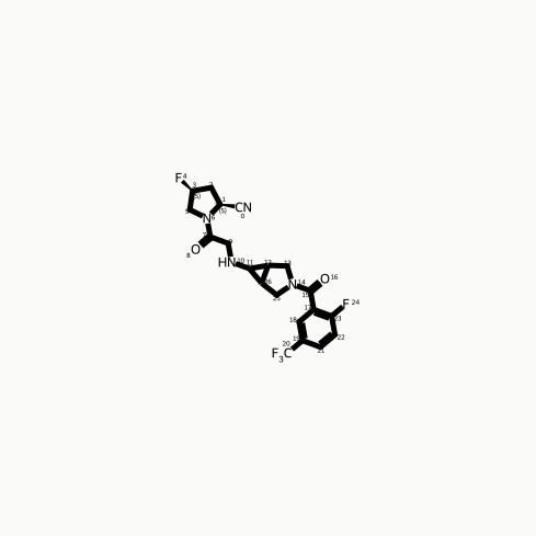 N#C[C@@H]1C[C@H](F)CN1C(=O)CNC1C2CN(C(=O)c3cc(C(F)(F)F)ccc3F)CC21